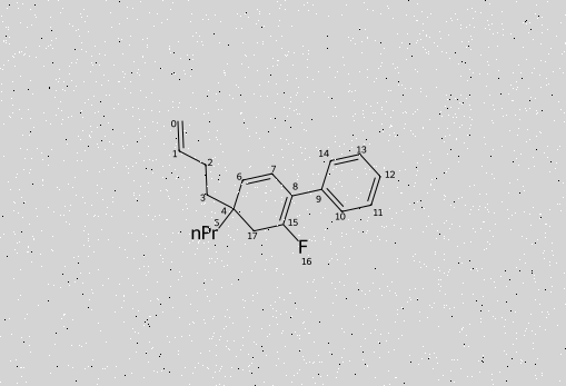 C=CCCC1(CCC)C=CC(c2ccccc2)=C(F)C1